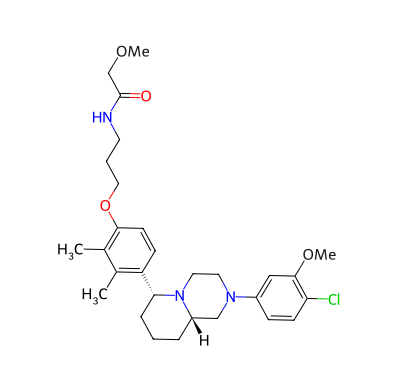 COCC(=O)NCCCOc1ccc([C@H]2CCC[C@H]3CN(c4ccc(Cl)c(OC)c4)CCN32)c(C)c1C